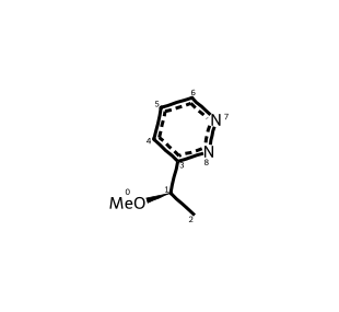 CO[C@H](C)c1cccnn1